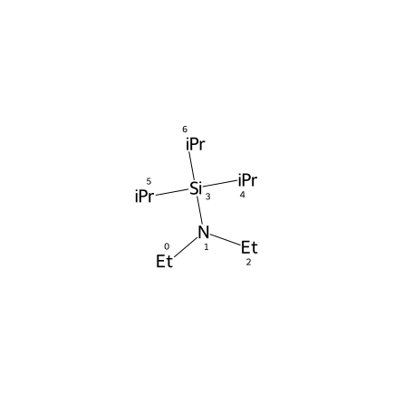 CCN(CC)[Si](C(C)C)(C(C)C)C(C)C